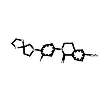 COc1ccc2c(c1)CCN(c1ccc(N3CCC4(C3)OCCO4)c(F)c1)C2=O